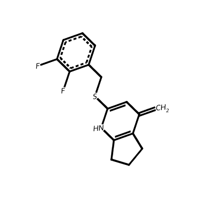 C=C1C=C(SCc2cccc(F)c2F)NC2=C1CCC2